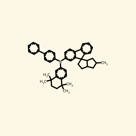 CC1CC2CCC3(c4ccccc4-c4ccc(N(c5ccc(-c6ccccc6)cc5)c5ccc6c(c5)C(C)(C)CCC6(C)C)cc43)C2C1